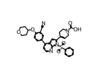 N#Cc1cc(-c2ccnc3c2cc(C2=CCN(C(=O)O)CC2)n3S(=O)(=O)c2ccccc2)ccc1OC1CCOCC1